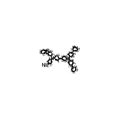 N#Cc1ccc(N(c2ccc(-c3ccc(N(c4ccc(-c5ccccc5)cc4)c4ccc(-c5ccccc5)cc4)cc3)cc2)c2ccc3oc4ccccc4c3c2)cc1